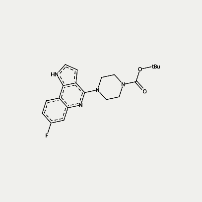 CC(C)(C)OC(=O)N1CCN(c2nc3cc(F)ccc3c3[nH]ccc23)CC1